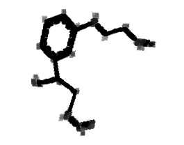 CCC(COC=O)c1cccc(OCCOC)c1